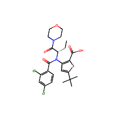 CC[C@@H](C(=O)N1CCOCC1)N(C(=O)c1ccc(Cl)cc1Cl)c1cc(C(C)(C)C)sc1C(=O)O